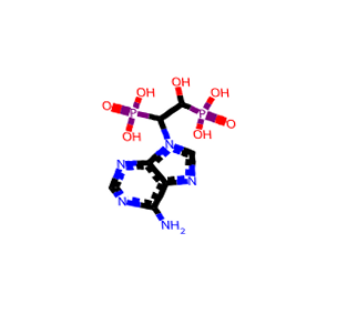 Nc1ncnc2c1ncn2C(C(O)P(=O)(O)O)P(=O)(O)O